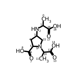 CC(NC1CC(C(=O)O)N(C(C)C(=O)O)C1)C(=O)O